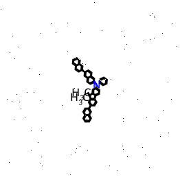 CC1(C)c2cc(-c3ccc4ccccc4c3)ccc2-c2ccc(N(c3ccccc3)c3ccc4cc(-c5ccc6ccccc6c5)ccc4c3)cc21